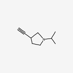 C#CC1CCN(C(C)C)C1